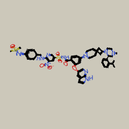 CC(C)c1ccccc1[C@@H]1CN(C)CCN1C1CC2(CCN(c3ccc(C(=O)NS(=O)(=O)c4cnc(NCC5CCC(N=S(C)(C)=O)CC5)c([N+](=O)[O-])c4)c(Oc4cnc5[nH]ccc5c4)c3)CC2)C1